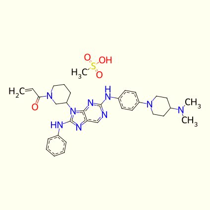 C=CC(=O)N1CCCC(n2c(Nc3ccccc3)nc3cnc(Nc4ccc(N5CCC(N(C)C)CC5)cc4)nc32)C1.CS(=O)(=O)O